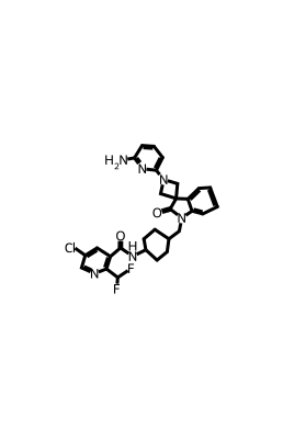 Nc1cccc(N2CC3(C2)C(=O)N(CC2CCC(NC(=O)c4cc(Cl)cnc4C(F)F)CC2)c2ccccc23)n1